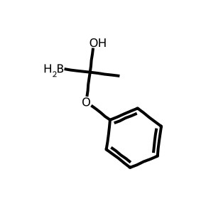 BC(C)(O)Oc1ccccc1